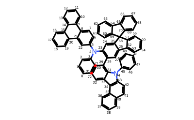 c1ccc(N(c2ccc3c4ccccc4c4ccccc4c3c2)c2cc3c(cc2-c2cccc4c5c6ccccc6ccc5n(-c5ccccc5)c24)-c2ccccc2C32c3ccccc3-c3ccccc32)cc1